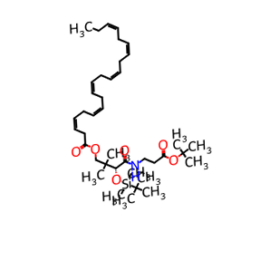 CC/C=C\C/C=C\C/C=C\C/C=C\C/C=C\C/C=C\CC(=O)OCC(C)(C)[C@@H](O[Si](C)(C)C(C)(C)C)C(=O)NCCC(=O)OC(C)(C)C